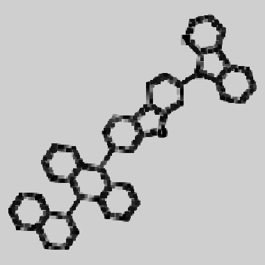 c1ccc2c(-c3c4ccccc4c(-c4ccc5c(c4)oc4cc(-n6c7ccccc7c7cccnc76)ccc45)c4ccccc34)cccc2c1